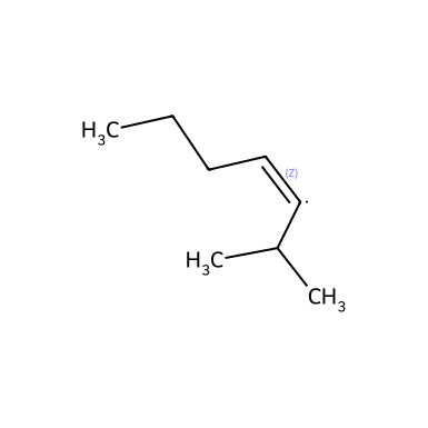 CCC/C=[C]\C(C)C